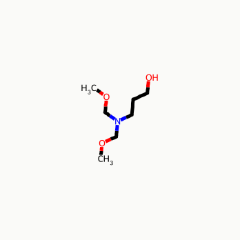 COCN(CCCO)COC